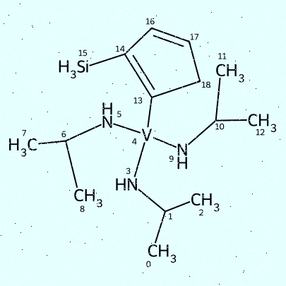 CC(C)[NH][V]([NH]C(C)C)([NH]C(C)C)[C]1=C([SiH3])C=CC1